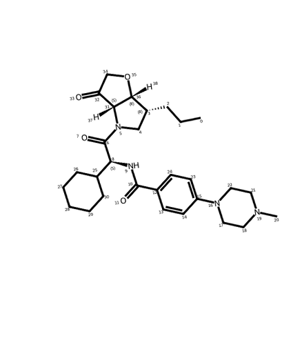 CCC[C@@H]1CN(C(=O)[C@@H](NC(=O)c2ccc(N3CCN(C)CC3)cc2)C2CCCCC2)[C@@H]2C(=O)CO[C@H]12